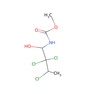 COC(=O)NC(O)C(Cl)(Cl)C(C)Cl